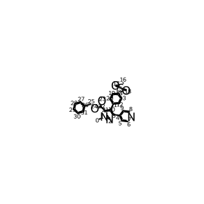 Cn1nc(-c2ccncc2)c(-c2ccc(S(C)(=O)=O)cc2)c1C(=O)OCc1ccccc1